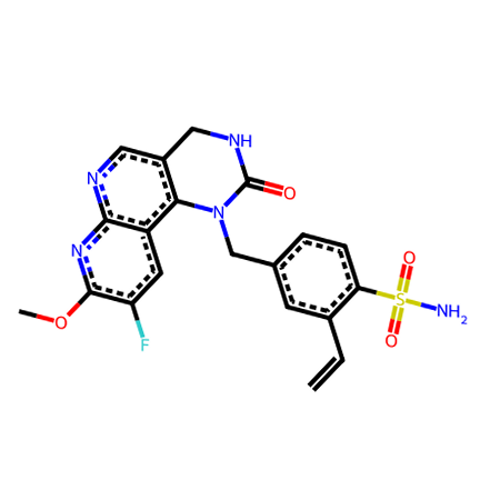 C=Cc1cc(CN2C(=O)NCc3cnc4nc(OC)c(F)cc4c32)ccc1S(N)(=O)=O